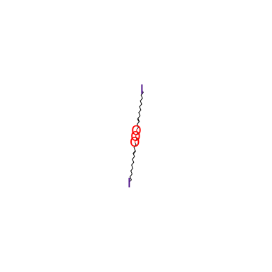 ICCCCCCCCCC=CCCOCOCOCCC=CCCCCCCCCCI